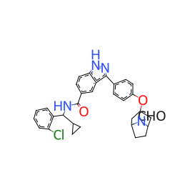 O=CN1C2CCC1CC(Oc1ccc(-c3n[nH]c4ccc(C(=O)NC(c5ccccc5Cl)C5CC5)cc34)cc1)C2